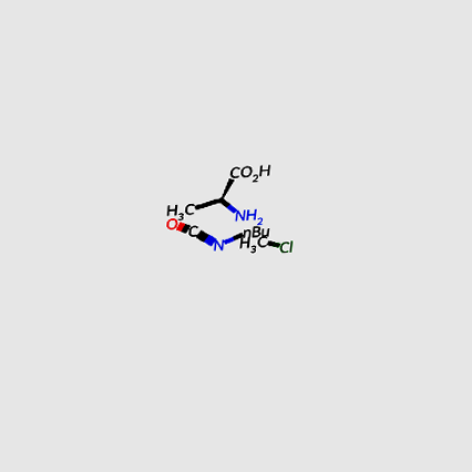 CCCCN=C=O.CCl.C[C@H](N)C(=O)O